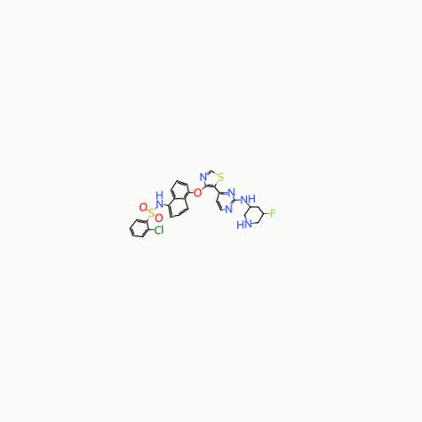 O=S(=O)(Nc1cccc2c(Oc3ncsc3-c3ccnc(N[C@@H]4CNC[C@H](F)C4)n3)cccc12)c1ccccc1Cl